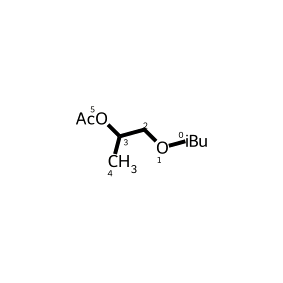 CCC(C)OCC(C)OC(C)=O